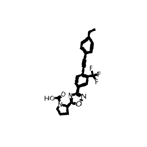 CCc1ccc(C#Cc2ccc(-c3noc(C4CCCN4C(=O)O)n3)cc2C(F)(F)F)cc1